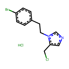 Cl.ClCc1cncn1CCc1ccc(Br)cc1